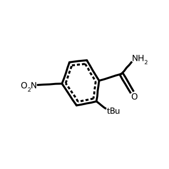 CC(C)(C)c1cc([N+](=O)[O-])ccc1C(N)=O